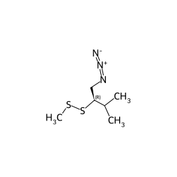 CSS[C@@H](CN=[N+]=[N-])C(C)C